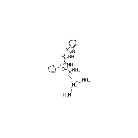 C[N+](CCN)(CCN)CCC[C@H](N)C(=O)N[C@H](CCc1ccccc1)C(=O)Nc1nc2ccccc2s1